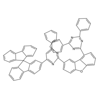 c1ccc(-c2cc(-c3ccc4c(c3)C3(c5ccccc5-c5ccccc53)c3ccccc3-4)nc(-c3ccc4oc5cccc(-c6nc(-c7ccccc7)nc(-c7ccccc7)n6)c5c4c3)n2)cc1